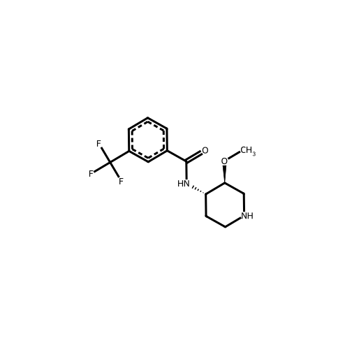 CO[C@H]1CNCC[C@@H]1NC(=O)c1cccc(C(F)(F)F)c1